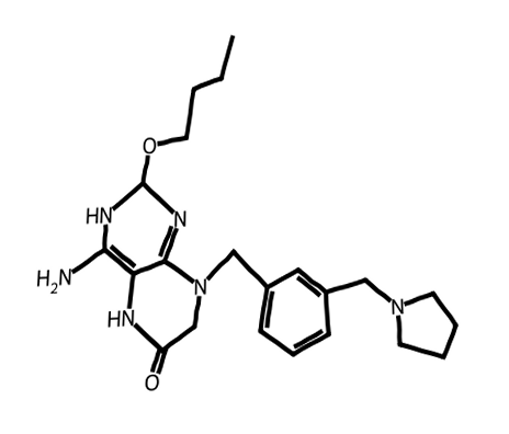 CCCCOC1N=C2C(=C(N)N1)NC(=O)CN2Cc1cccc(CN2CCCC2)c1